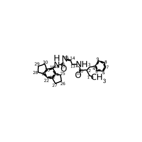 CCC(Cc1ccccc1)C(=O)NC/C=N\C(=O)Nc1c2c(cc3c1CCC3)CCC2